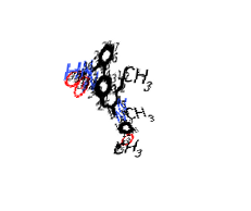 CCCCC1=NC(C)N(c2ccc(OCC)cc2)C=C1Cc1ccc(-c2ccccc2-c2noc(=O)[nH]2)cc1